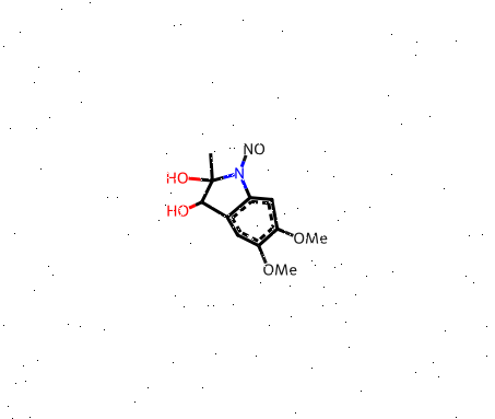 COc1cc2c(cc1OC)N(N=O)C(C)(O)C2O